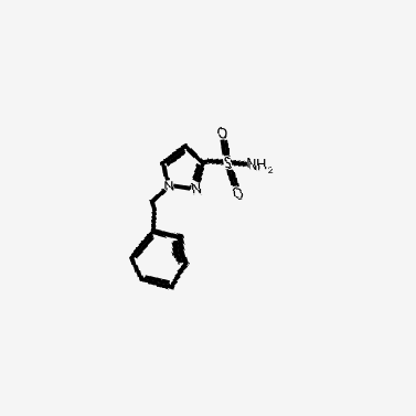 NS(=O)(=O)c1ccn(Cc2ccccc2)n1